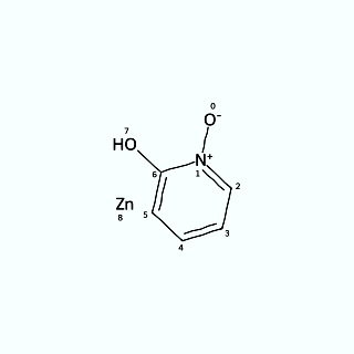 [O-][n+]1ccccc1O.[Zn]